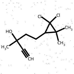 C#CC(C)(O)CCC1C(C)(C)C1(Cl)Cl